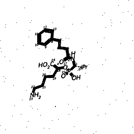 CC(C)[C@@H](NC(=O)CCCc1ccccc1)P(=O)(O)OC(CCCCN)C(=O)O